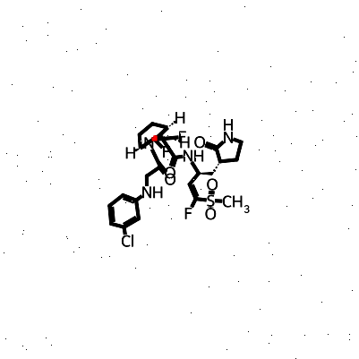 CS(=O)(=O)/C(F)=C\[C@H](C[C@H]1CCNC1=O)NC(=O)[C@@H]1[C@@H]2CC[C@@H](CC2(F)F)N1C(=O)CNc1cccc(Cl)c1